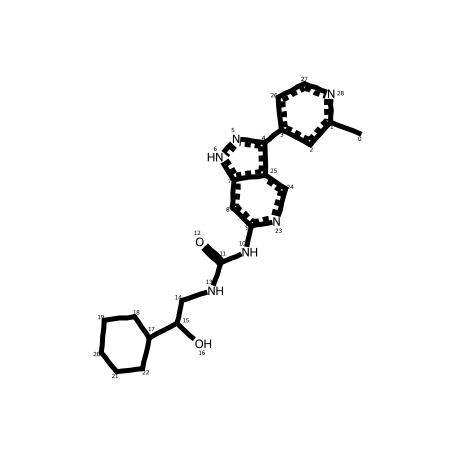 Cc1cc(-c2n[nH]c3cc(NC(=O)NCC(O)C4CCCCC4)ncc23)ccn1